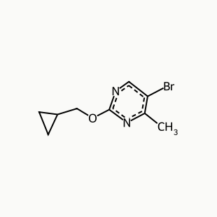 Cc1nc(OCC2CC2)ncc1Br